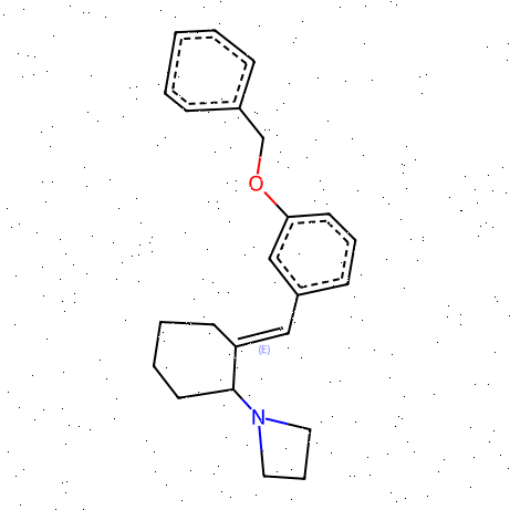 C(=C1/CCCCC1N1CCC1)/c1cccc(OCc2ccccc2)c1